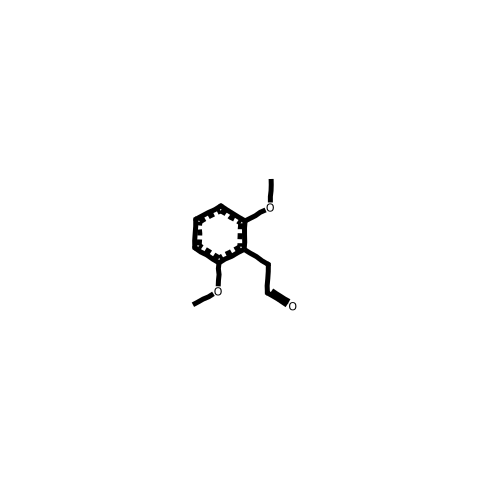 COc1cccc(OC)c1CC=O